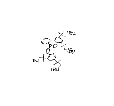 CC(C)(C)CC(C)(C)c1ccc(OP(Oc2ccc(C(C)(C)CC(C)(C)C)cc2C(C)(C)CC(C)(C)C)c2ccccc2)c(C(C)(C)CC(C)(C)C)c1